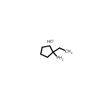 CCC1(P)CCCC1.Cl